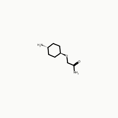 NC(=O)CO[C@H]1CC[C@H](N)CC1